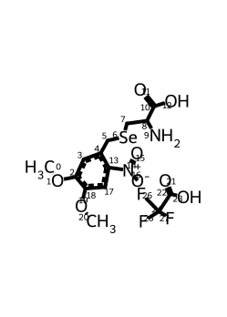 COc1cc(C[Se]CC(N)C(=O)O)c([N+](=O)[O-])cc1OC.O=C(O)C(F)(F)F